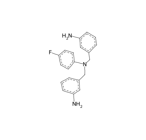 Nc1cccc(CN(Cc2cccc(N)c2)c2ccc(F)cc2)c1